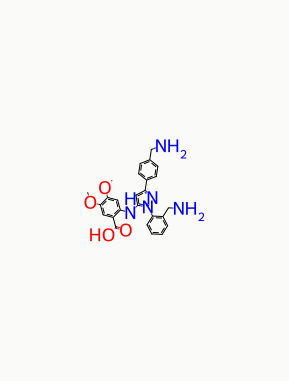 COc1cc(Nc2cc(-c3ccc(CN)cc3)nn2-c2ccccc2CN)c(C(=O)O)cc1OC